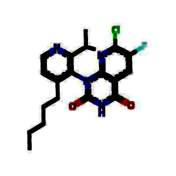 CCCCCc1ccnc(C(C)C)c1-n1c(=O)[nH]c(=O)c2cc(F)c(Cl)nc21